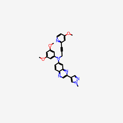 COc1cc(OC)cc(N(CC#Cc2cc(OC)ccn2)c2ccc3ncc(-c4cnn(C)c4)nc3c2)c1